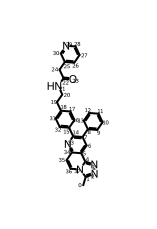 Cc1nnc2c3cc(-c4ccccc4)c(-c4ccc(CCNC(=O)Cc5cccnc5)cc4)nc3ccn12